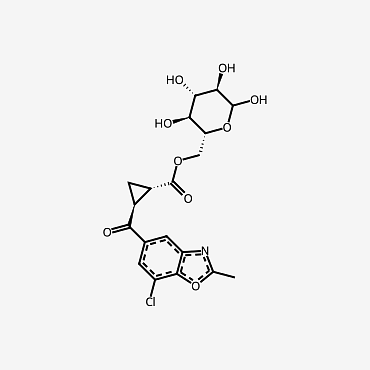 Cc1nc2cc(C(=O)[C@H]3C[C@@H]3C(=O)OC[C@H]3OC(O)[C@H](O)[C@@H](O)[C@@H]3O)cc(Cl)c2o1